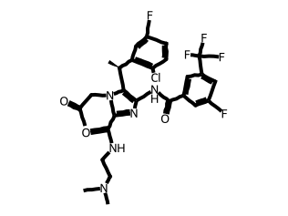 CC(=O)Cn1c(C(=O)NCCN(C)C)nc(NC(=O)c2cc(F)cc(C(F)(F)F)c2)c1[C@@H](C)c1cc(F)ccc1Cl